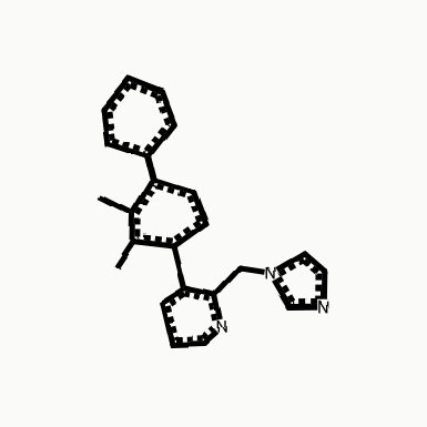 Cc1c(-c2ccccc2)ccc(-c2cccnc2Cn2ccnc2)c1C